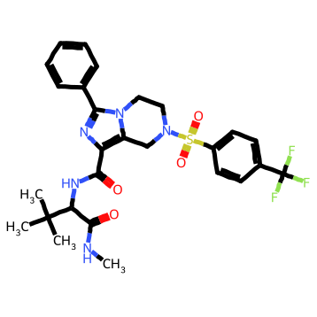 CNC(=O)C(NC(=O)c1nc(-c2ccccc2)n2c1CN(S(=O)(=O)c1ccc(C(F)(F)F)cc1)CC2)C(C)(C)C